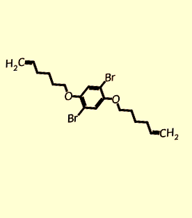 C=CCCCCOc1cc(Br)c(OCCCCC=C)cc1Br